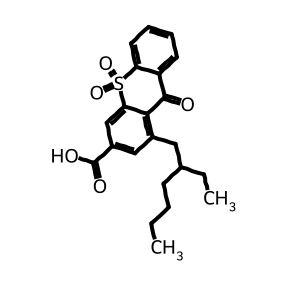 CCCCC(CC)Cc1cc(C(=O)O)cc2c1C(=O)c1ccccc1S2(=O)=O